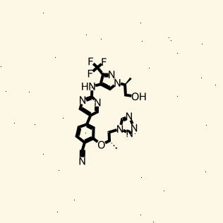 C[C@@H](Cn1cnnn1)Oc1cc(-c2cnc(Nc3cn([C@@H](C)CO)nc3C(F)(F)F)nc2)ccc1C#N